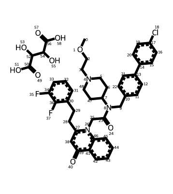 COCCN1CCC(N(Cc2ccc(-c3ccc(Cl)cc3)cc2)C(=O)Cn2c(CCc3cccc(F)c3F)cc(=O)c3ccccc32)CC1.O=C(O)C(O)C(O)C(=O)O